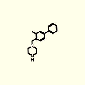 Cc1cc(-c2ccccc2)ccc1CN1CCNCC1